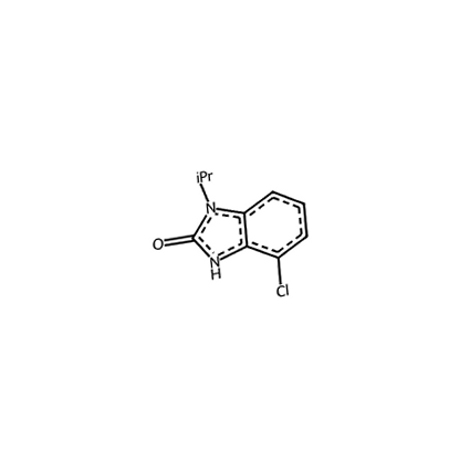 CC(C)n1c(=O)[nH]c2c(Cl)cccc21